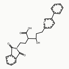 O=C(O)C(CCN1C(=O)c2ccccc2C1=O)C(O)CCc1ccc(-c2ccccc2)cc1